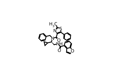 Cc1nc(C(=O)N(Cc2ccccc2)[C@@H](CNC(=O)c2cccc3occc23)C2CC2)c(-c2ccccc2)s1